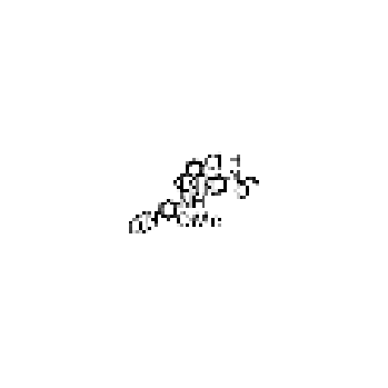 C=CC(=O)Nc1ccnc(-c2c(Cl)ccc3cnc(Nc4ccc(N5CCOCC5)cc4OC)nc23)c1